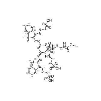 CC1(C)C(/C=C/C2=CC(=C/C=C3/N(CCCS(=O)(=O)O)c4ccccc4C3(C)C)/CC(C(=O)NCCNC(=O)CI)(C(=O)NCCS(=O)(=O)O)C2)=[N+](CCCS(=O)(=O)O)c2ccccc21